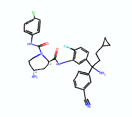 N#Cc1cccc(C(N)(CCC2CC2)c2ccc(F)c(NC(=O)[C@H]3C[C@H](N)CN3C(=O)Nc3ccc(Cl)cc3)c2)c1